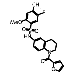 COc1cc(C)c(F)cc1S(=O)(=O)Nc1ccc2c(c1)CCCN2C(=O)c1ccco1